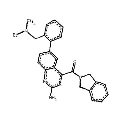 CCN(C)Cc1ccccc1-c1ccc2nc(N)nc(C(=O)N3Cc4ccccc4C3)c2c1